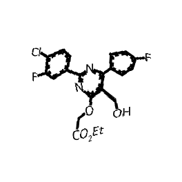 CCOC(=O)COc1nc(-c2ccc(Cl)c(F)c2)nc(-c2ccc(F)cc2)c1CO